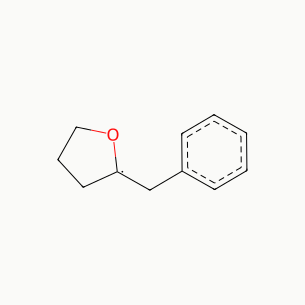 c1ccc(C[C]2CCCO2)cc1